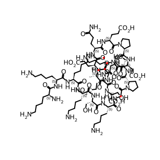 C[C@H](NC(=O)[C@H](C)NC(=O)[C@H](CO)NC(=O)[C@@H]1CCCN1C(=O)CNC(=O)[C@H](CCCCN)NC(=O)[C@H](CO)NC(=O)[C@H](CCCCN)NC(=O)[C@H](CCCCN)NC(=O)[C@H](CCCCN)NC(=O)[C@@H](N)CCCCN)C(=O)NCC(=O)N[C@@H](CCC(=O)O)C(=O)N[C@@H](CCC(N)=O)C(=O)N[C@@H](CCC(=O)O)C(=O)N1CCC[C@H]1C(=O)N[C@@H](CC(=O)O)C(=O)N[C@@H](CCCCN)C(=O)N[C@@H](CCC(=O)O)C(=O)N[C@@H](CO)C(=O)O